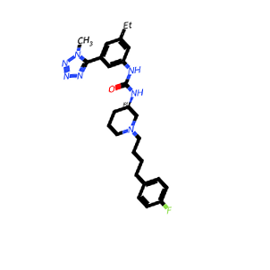 CCc1cc(NC(=O)N[C@@H]2CCCN(CCCCc3ccc(F)cc3)C2)cc(-c2nnnn2C)c1